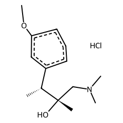 COc1cccc([C@@H](C)[C@@](C)(O)CN(C)C)c1.Cl